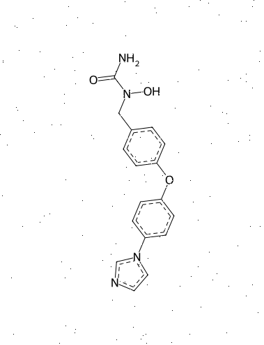 NC(=O)N(O)Cc1ccc(Oc2ccc(-n3ccnc3)cc2)cc1